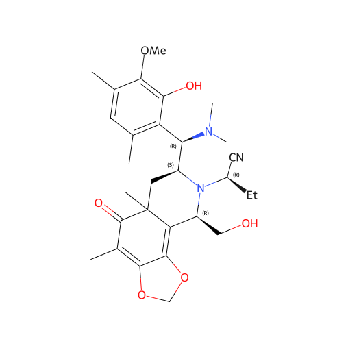 CC[C@H](C#N)N1[C@@H](CO)C2=C3OCOC3=C(C)C(=O)C2(C)C[C@H]1[C@@H](c1c(C)cc(C)c(OC)c1O)N(C)C